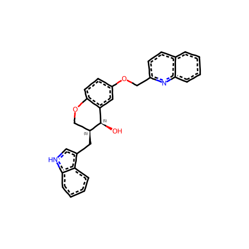 O[C@@H]1c2cc(OCc3ccc4ccccc4n3)ccc2OC[C@@H]1Cc1c[nH]c2ccccc12